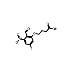 O=Cc1c(OCCCC(=O)O)cc(F)cc1[N+](=O)[O-]